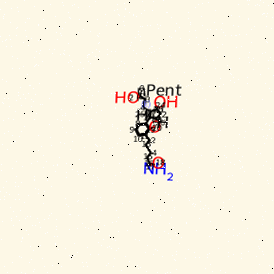 CCCCC[C@H](O)/C=C/[C@@H]1[C@H]2c3cccc(CCCCC(N)=O)c3O[C@H]2C[C@H]1O